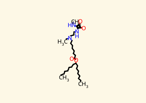 CCCCCCCCC(CCCCCCCC)OC(=O)CCCCCCCN(CC)CCCNc1c(NC)c(=O)c1=O